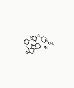 CN1CCC(Oc2cnc(-c3cccc(Cn4c(=O)ccn5c6cc(C#N)ccc6nc45)c3)nc2)CC1